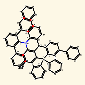 CC(C)(C)c1cc2c3c(c1)[Si](c1ccccc1)(c1ccccc1)c1cc(-c4ccccc4)ccc1B3c1ccc(-c3ccccc3)cc1N2c1c(-c2ccccc2)cccc1-c1ccccc1